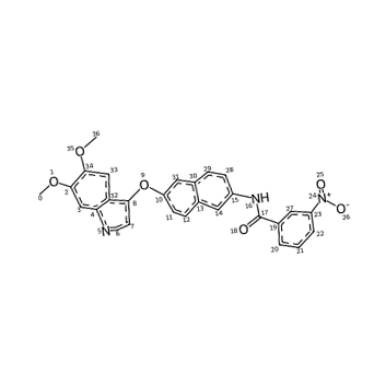 COc1cc2nccc(Oc3ccc4cc(NC(=O)c5cccc([N+](=O)[O-])c5)ccc4c3)c2cc1OC